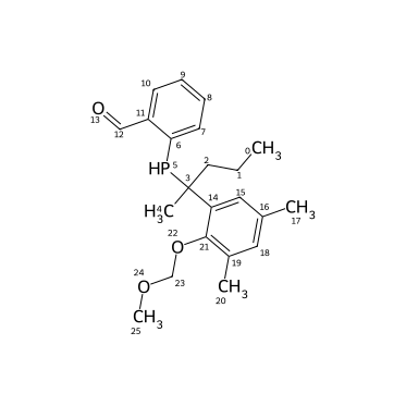 CCCC(C)(Pc1ccccc1C=O)c1cc(C)cc(C)c1OCOC